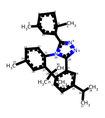 Cc1ccc(C)c(-c2nnc(-c3cccc(C(C)C)c3)n2-c2ccc(C)cc2C(C)(C)C)c1